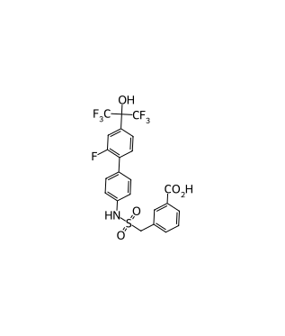 O=C(O)c1cccc(CS(=O)(=O)Nc2ccc(-c3ccc(C(O)(C(F)(F)F)C(F)(F)F)cc3F)cc2)c1